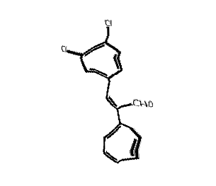 O=C/C(=C\c1ccc(Cl)c(Cl)c1)c1ccccc1